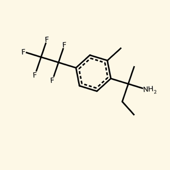 CCC(C)(N)c1ccc(C(F)(F)C(F)(F)F)cc1C